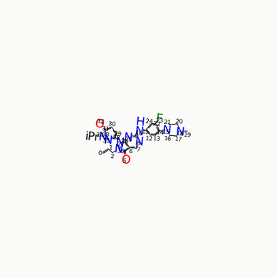 C=CCn1c(=O)c2cnc(Nc3ccc(N4CCN(C)CC4)c(F)c3)nc2n1-c1ccc(=O)n(C(C)C)n1